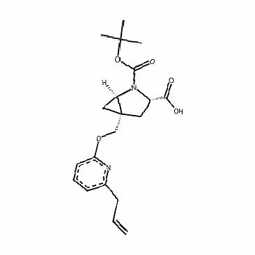 C=CCc1cccc(OC[C@@]23C[C@@H](C(=O)O)N(C(=O)OC(C)(C)C)[C@@H]2C3)n1